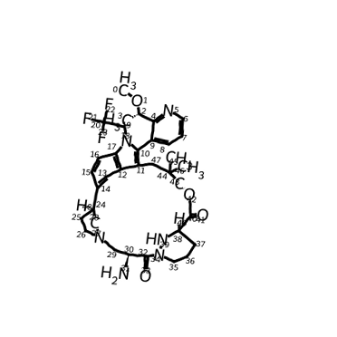 CO[C@@H](C)c1ncccc1-c1c2c3cc(ccc3n1CC(F)(F)F)[C@@H]1CCN(C1)C[C@H](N)C(=O)N1CCC[C@H](N1)C(=O)OCC(C)(C)C2